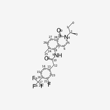 CC[C@@H](C)n1ccc2c(NC(=O)Cc3ccc(C(F)(F)F)c(F)c3)c(C)ccc2c1=O